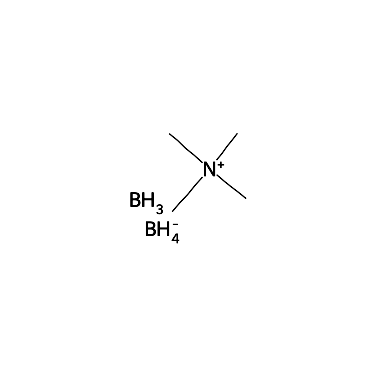 B.C[N+](C)(C)C.[BH4-]